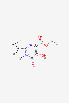 CCOC(=O)c1nc2n(c(=O)c1O)CCC21CC1